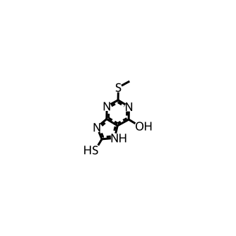 CSc1nc(O)c2[nH]c(S)nc2n1